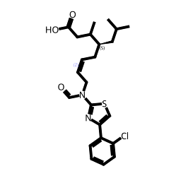 CC(C)C[C@@H](C/C=C\CN(C=O)c1nc(-c2ccccc2Cl)cs1)C(C)CC(=O)O